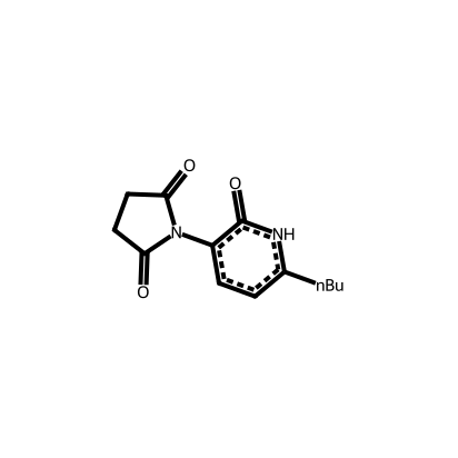 CCCCc1ccc(N2C(=O)CCC2=O)c(=O)[nH]1